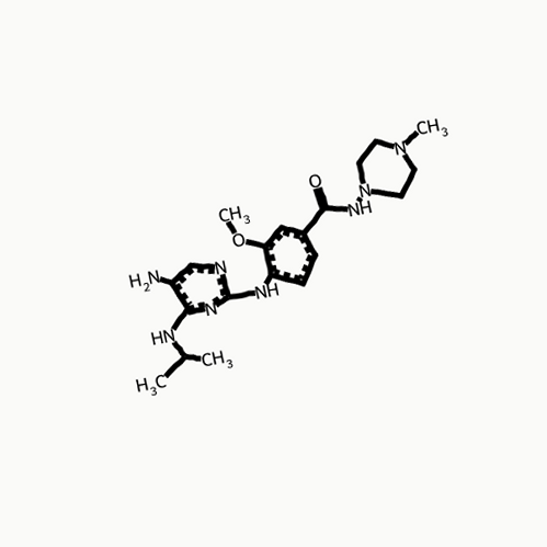 COc1cc(C(=O)NN2CCN(C)CC2)ccc1Nc1ncc(N)c(NC(C)C)n1